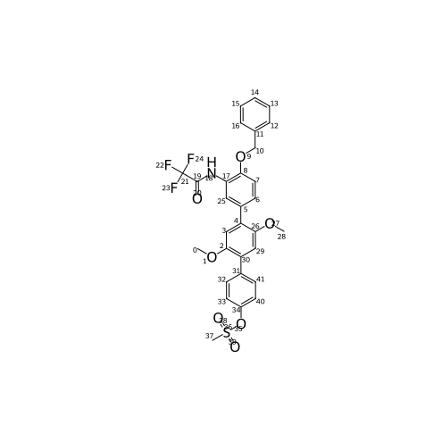 COc1cc(-c2ccc(OCc3ccccc3)c(NC(=O)C(F)(F)F)c2)c(OC)cc1-c1ccc(OS(C)(=O)=O)cc1